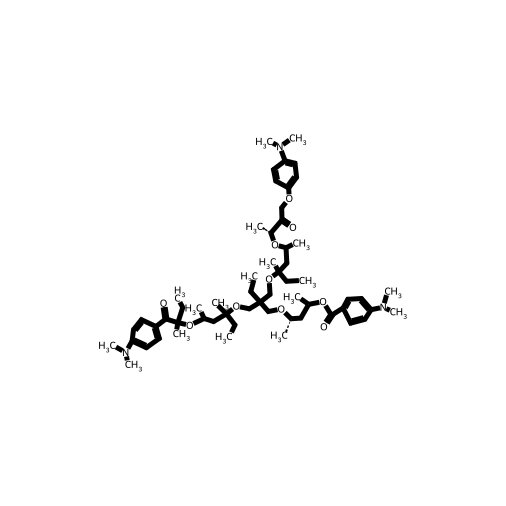 CCC(CO[C@@H](C)CC(C)OC(=O)c1ccc(N(C)C)cc1)(COC(C)(CC)CC(C)O[C@H](C)C(=O)COc1ccc(N(C)C)cc1)COC(C)(CC)CC(C)OC(C)(CC)C(=O)c1ccc(N(C)C)cc1